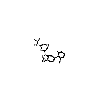 CC(C)Nc1cncc(-c2n[nH]c3ccc(-c4c(F)cccc4F)cc23)n1